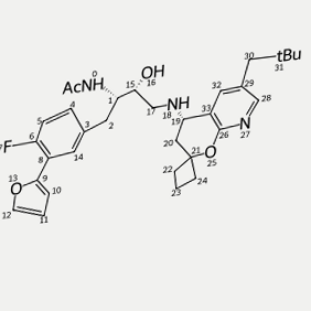 CC(=O)N[C@@H](Cc1ccc(F)c(-c2ccco2)c1)[C@H](O)CN[C@H]1CC2(CCC2)Oc2ncc(CC(C)(C)C)cc21